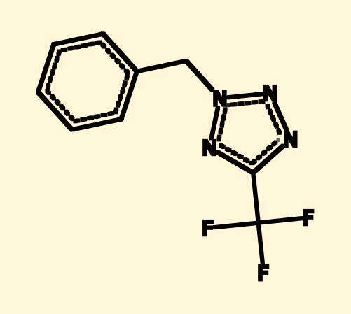 FC(F)(F)c1nnn(Cc2ccccc2)n1